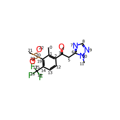 Cc1c(C(=O)Cc2ncnn2C)ccc(C(F)(F)F)c1S(C)(=O)=O